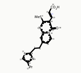 CSc1nc2cc(CCc3nc(C(C)C)cs3)ccn2c(=O)c1/C=C/C(=O)O